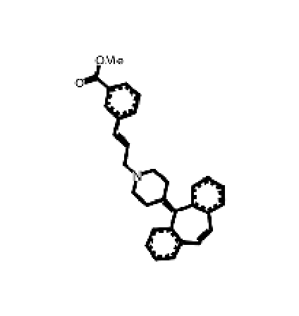 COC(=O)c1cccc(C=CCN2CCC(=C3c4ccccc4C=Cc4ccccc43)CC2)c1